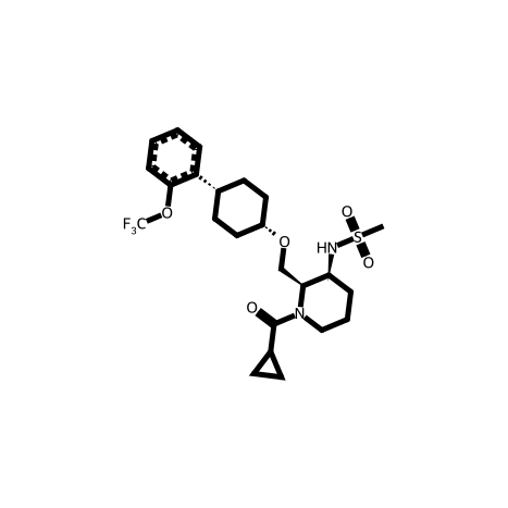 CS(=O)(=O)N[C@H]1CCCN(C(=O)C2CC2)[C@H]1CO[C@H]1CC[C@@H](c2ccccc2OC(F)(F)F)CC1